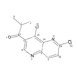 CC(C)C(=O)c1cnc2ccc(Cl)nc2c1Cl